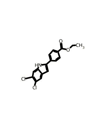 CCOC(=O)c1ccc(-c2cc3cc(Cl)c(Cl)cc3[nH]2)cc1